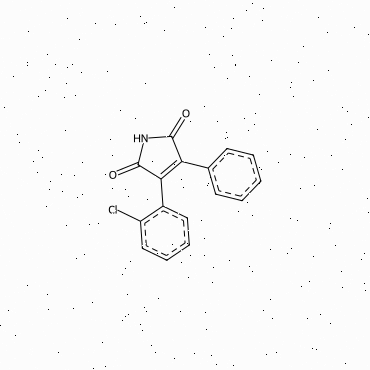 O=C1NC(=O)C(c2ccccc2Cl)=C1c1ccccc1